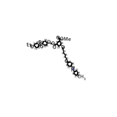 CCOc1ccc(S(=O)(=O)c2ccc(OCOC(=O)c3cc(OCCCCCCOc4ccc(/N=N/c5ccc(C)cc5)cc4)cc(C(=O)OC)c3)cc2)cc1